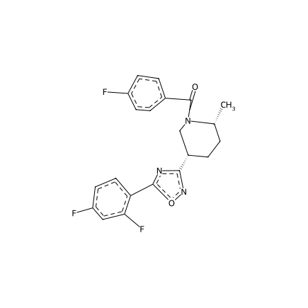 C[C@@H]1CC[C@H](c2noc(-c3ccc(F)cc3F)n2)CN1C(=O)c1ccc(F)cc1